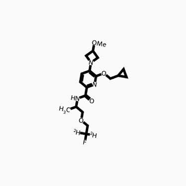 [2H]C([2H])(F)COCC(C)NC(=O)c1ccc(N2CC(OC)C2)c(OCC2CC2)n1